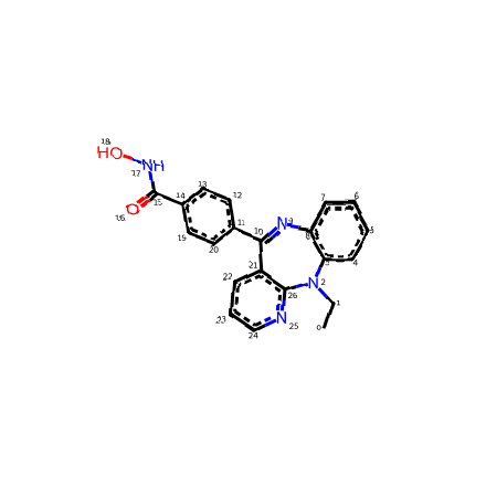 CCN1c2ccccc2N=C(c2ccc(C(=O)NO)cc2)c2cccnc21